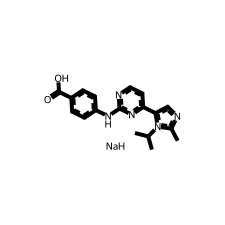 Cc1ncc(-c2ccnc(Nc3ccc(C(=O)O)cc3)n2)n1C(C)C.[NaH]